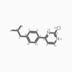 CC(C)Cc1ccc(-c2ccnc(Cl)n2)cc1